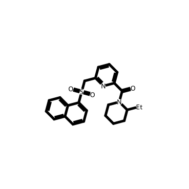 CCC1CCCCN1C(=O)c1cccc(CS(=O)(=O)c2cccc3ccccc23)n1